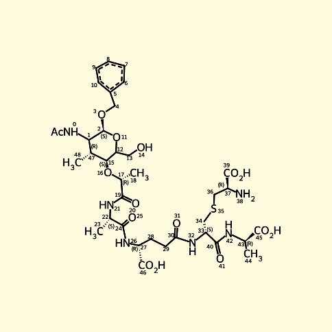 CC(=O)NC1[C@@H](OCc2ccccc2)OC(CO)[C@@H](O[C@H](C)C(=O)N[C@@H](C)C(=O)N[C@H](CCC(=O)N[C@H](CSC[C@H](N)C(=O)O)C(=O)N[C@H](C)C(=O)O)C(=O)O)[C@@H]1C